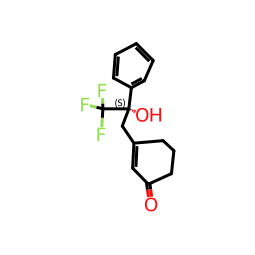 O=C1C=C(C[C@](O)(c2ccccc2)C(F)(F)F)CCC1